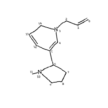 C=CCN1C=C(C2CCCN2C)C=CC1